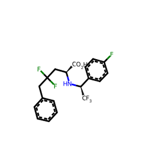 O=C(O)[C@H](CC(F)(F)Cc1ccccc1)N[C@@H](c1ccc(F)cc1)C(F)(F)F